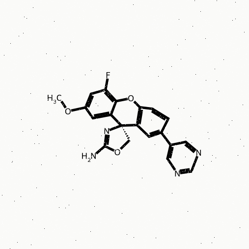 COc1cc(F)c2c(c1)[C@@]1(COC(N)=N1)c1cc(-c3cncnc3)ccc1O2